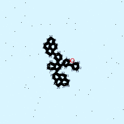 c1cc(-c2c(-c3ccc4oc5ccccc5c4c3)cc(-c3ccc4ccc5cccc6ccc3c4c56)c3ccccc23)cc(-c2ccc3ccc4cccc5ccc2c3c45)c1